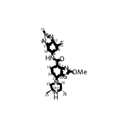 COc1nc2c(C(=O)Nc3cc(F)c4nn(C)nc4c3)ccc(N3C[C@H](C)N[C@@H](C)C3)c2s1